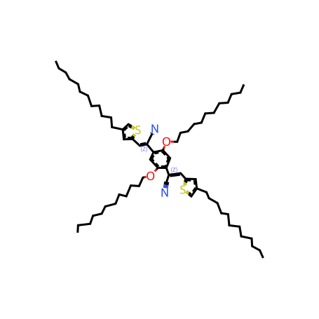 CCCCCCCCCCCCOc1cc(/C(C#N)=C/c2cc(CCCCCCCCCCCC)cs2)c(OCCCCCCCCCCCC)cc1/C(C#N)=C/c1cc(CCCCCCCCCCCC)cs1